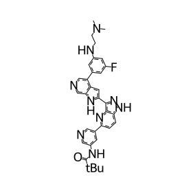 CN(C)CCNc1cc(F)cc(-c2cncc3[nH]c(-c4n[nH]c5ccc(-c6cncc(NC(=O)C(C)(C)C)c6)nc45)cc23)c1